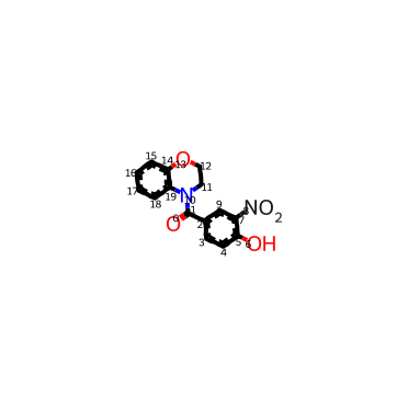 O=C(c1ccc(O)c([N+](=O)[O-])c1)N1CCOc2ccccc21